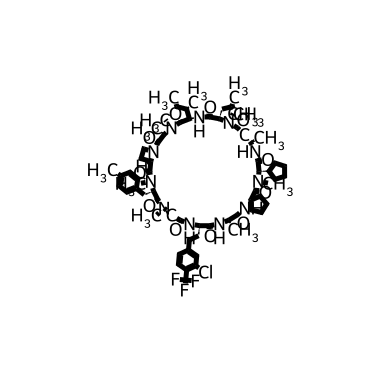 CC[C@H](C)[C@@H]1NC(=O)[C@H](CC(C)C)N(C)C(=O)C[C@@H](C)NC(=O)[C@H](C2CCCC2)N(C)C(=O)C2(CCCC2)NC(=O)[C@H](C)NC(=O)[C@H](CCc2ccc(C(F)(F)F)c(Cl)c2)NC(=O)CN(C)C(=O)[C@H](Cc2ccc(C)cc2)N(C)C(=O)[C@@H]2CCN2C(=O)[C@H](C)N(C)C1=O